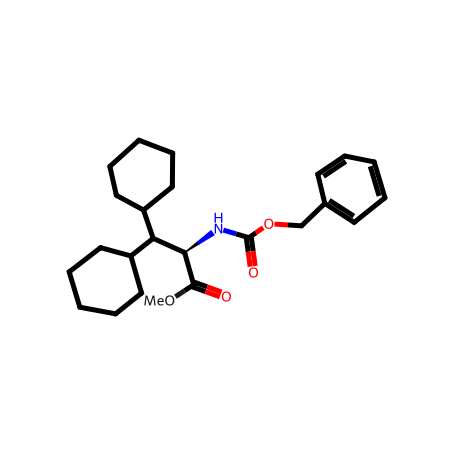 COC(=O)[C@H](NC(=O)OCc1ccccc1)C(C1CCCCC1)C1CCCCC1